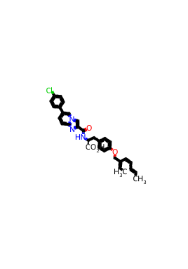 C/C=C/C=C\C(=C/C)COc1ccc(C[C@H](NC(=O)c2cn3cc(-c4ccc(Cl)cc4)ccc3n2)C(=O)O)cc1